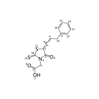 O=C(O)CN1C(=O)C(=C=CCc2ccccc2)SC1=S